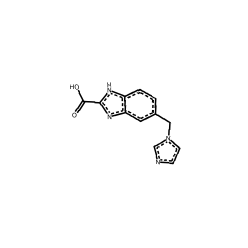 O=C(O)c1nc2cc(Cn3ccnc3)ccc2[nH]1